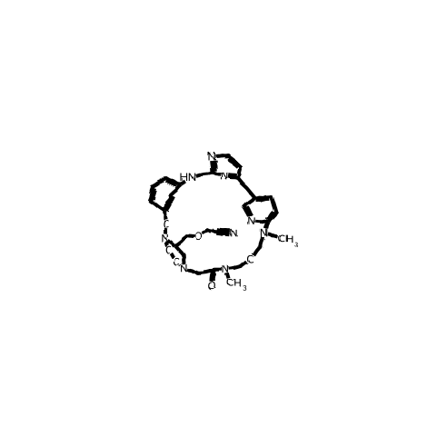 CN1CCCN(C)c2ccc(cn2)-c2ccnc(n2)Nc2cccc(c2)CN2CCN(CC1=O)CC2COCC#N